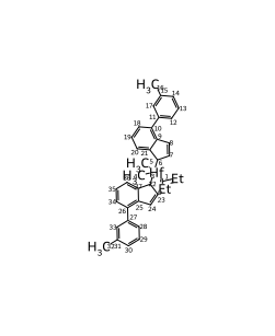 CC[C](CC)=[Hf]([CH3])([CH3])([CH]1C=Cc2c(-c3cccc(C)c3)cccc21)[CH]1C=Cc2c(-c3cccc(C)c3)cccc21